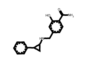 NC(=O)c1ccc(CNC2CC2c2ccccc2)cc1O